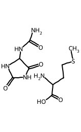 CSCCC(N)C(=O)O.NC(=O)NC1NC(=O)NC1=O